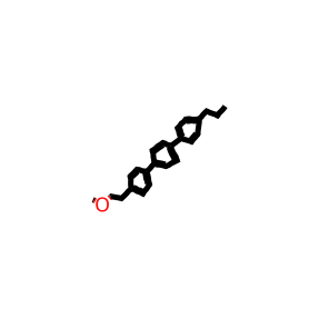 CCCc1ccc(-c2ccc(-c3ccc(CCOC)cc3)cc2)cc1